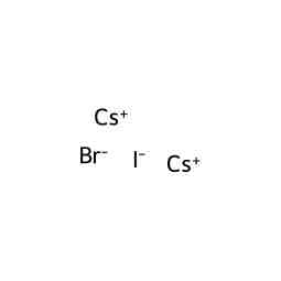 [Br-].[Cs+].[Cs+].[I-]